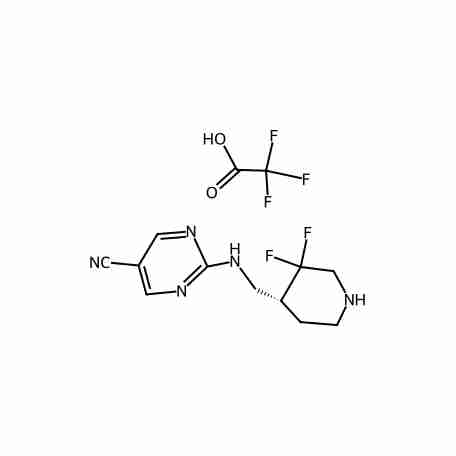 N#Cc1cnc(NC[C@H]2CCNCC2(F)F)nc1.O=C(O)C(F)(F)F